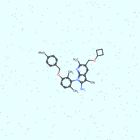 COc1ccc(COc2ccc(C)c(-n3c(N)c(C#N)c4cc(COC5CCC5)c(C)nc43)c2C)cc1